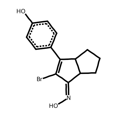 ON=C1C(Br)=C(c2ccc(O)cc2)C2CCCC12